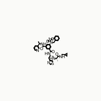 CC(NC(=O)c1cc(C(=O)N[C@H](CN[C@@H](C)C(=O)NCC2CC2)Cc2cscn2)cc(N(Cc2ccccc2)S(C)(=O)=O)c1)c1cccnc1